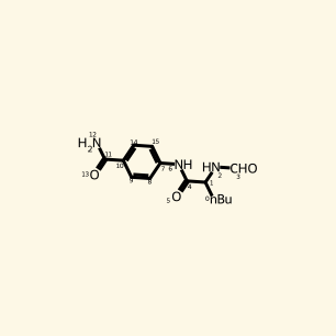 CCCCC(NC=O)C(=O)Nc1ccc(C(N)=O)cc1